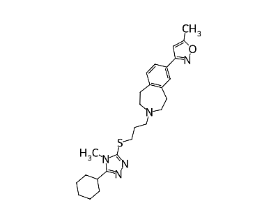 Cc1cc(-c2ccc3c(c2)CCN(CCCSc2nnc(C4CCCCC4)n2C)CC3)no1